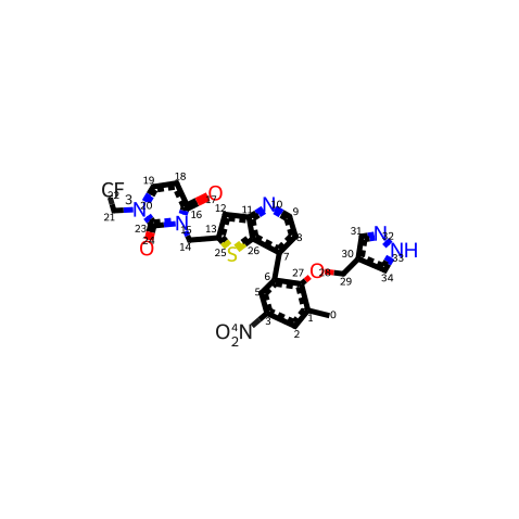 Cc1cc([N+](=O)[O-])cc(-c2ccnc3cc(Cn4c(=O)ccn(CC(F)(F)F)c4=O)sc23)c1OCc1cn[nH]c1